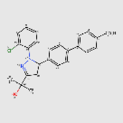 O=C(O)c1ccc(-c2ccc(C3CC(C(O)(C(F)(F)F)C(F)(F)F)=NN3c3ccccc3Cl)cc2)cc1